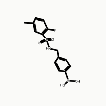 Cc1ccc(F)c(S(=O)(=O)NCc2ccc(B(O)O)cc2)c1